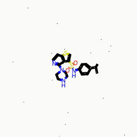 CC(C)c1ccc(NS(=O)(=O)c2csc3ccnc(N4CCNCC4)c23)cc1